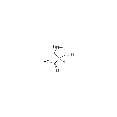 O=C(O)[C@@]12CNC[C@H]1C2